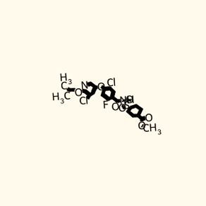 COC(=O)C1CCC(S(=O)(=O)NC(=O)c2cc(Cl)c(Oc3cnc(OCC(C)C)c(Cl)c3)cc2F)CC1